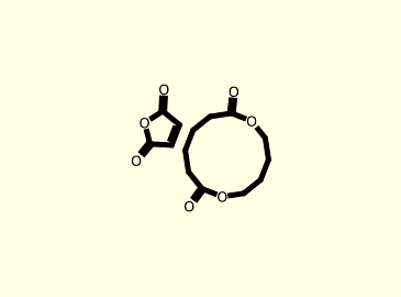 O=C1C=CC(=O)O1.O=C1CCCCC(=O)OCCCCO1